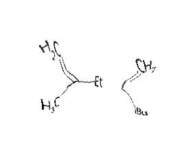 C=C(C)CC.C=CC(C)CC